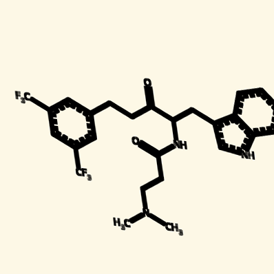 CN(C)CCC(=O)NC(Cc1c[nH]c2ccccc12)C(=O)CCc1cc(C(F)(F)F)cc(C(F)(F)F)c1